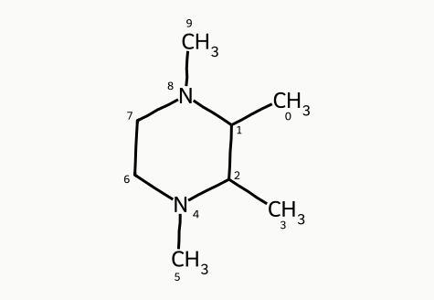 CC1C(C)N(C)CCN1C